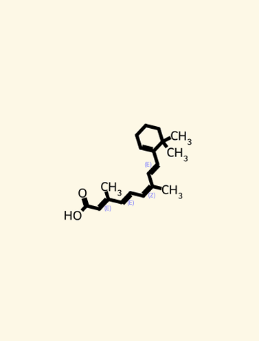 CC(=C/C=C/C(C)=C/C(=O)O)/C=C/C1=CCCCC1(C)C